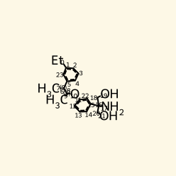 CCc1cccc([C@H](C)[C@H](C)Oc2cccc(C(N)(CO)CO)c2)c1